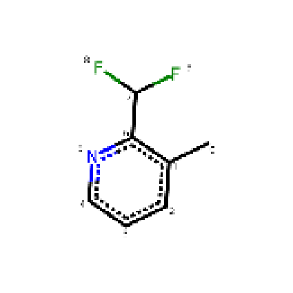 Cc1cccnc1C(F)F